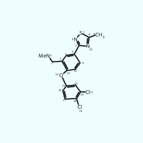 CNCc1cc(-c2nsc(C)n2)ccc1Oc1ccc(Cl)c(Cl)c1